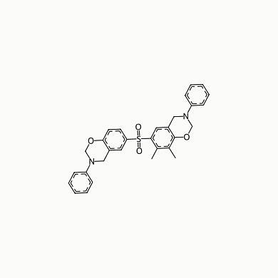 Cc1c(S(=O)(=O)c2ccc3c(c2)CN(c2ccccc2)CO3)cc2c(c1C)OCN(c1ccccc1)C2